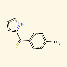 Cc1ccc(C(=S)c2ccc[nH]2)cc1